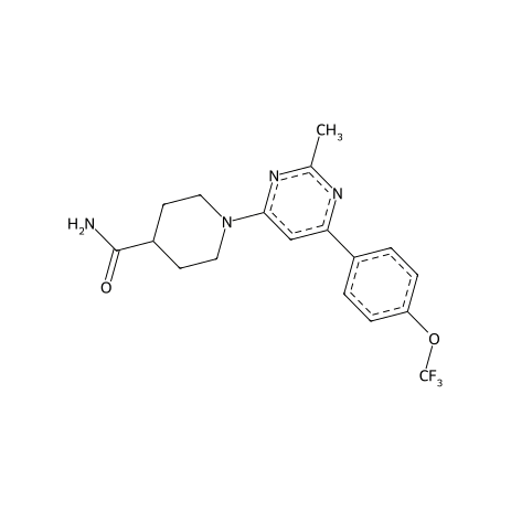 Cc1nc(-c2ccc(OC(F)(F)F)cc2)cc(N2CCC(C(N)=O)CC2)n1